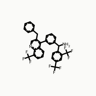 NC(c1cccc(-c2c(Cc3ccccc3)cnc3c(C(F)(F)F)cccc23)c1)c1ccc(C(F)(F)F)cc1C(F)(F)F